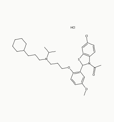 COc1ccc(OCCCN(CCCC2CCCCC2)C(C)C)c(C2Sc3cc(Cl)ccc3N2C(C)=O)c1.Cl